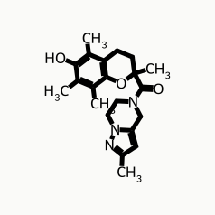 Cc1cc2n(n1)CCN(C(=O)C1(C)CCc3c(C)c(O)c(C)c(C)c3O1)C2